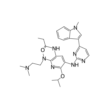 CCC(=O)Nc1cc(Nc2nccc(-c3cn(C)c4ccccc34)n2)c(OC(C)C)nc1N(C)CCN(C)C